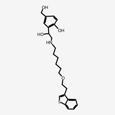 OCc1ccc(O)c(C(O)CNCCCCCCOCCc2csc3ccccc23)c1